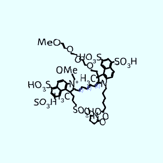 COCCOCCOCCOCCC1(C)\C(=C/C=C/C=C/C2=[N+](CCOC)c3ccc4c(S(=O)(=O)O)cc(S(=O)(=O)O)cc4c3C2(C)CCCS(=O)(=O)O)N(CCCCCC(=O)ON2C(=O)CCC2=O)c2ccc3c(S(=O)(=O)O)cc(S(=O)(=O)O)cc3c21